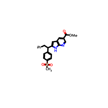 COC(=O)c1cnc2[nH]c(C(CC(C)C)c3ccc(S(C)(=O)=O)cc3)cc2c1